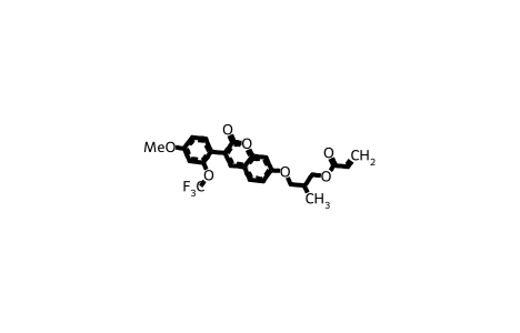 C=CC(=O)OCC(C)COc1ccc2cc(-c3ccc(OC)cc3OC(F)(F)F)c(=O)oc2c1